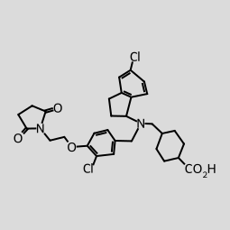 O=C(O)C1CCC(CN(Cc2ccc(OCCN3C(=O)CCC3=O)c(Cl)c2)C2CCc3cc(Cl)ccc32)CC1